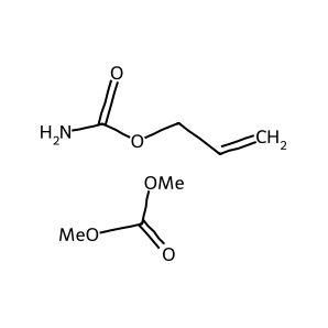 C=CCOC(N)=O.COC(=O)OC